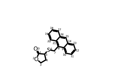 O=C1OCCC1SCc1c2ccccc2cc2ccccc12